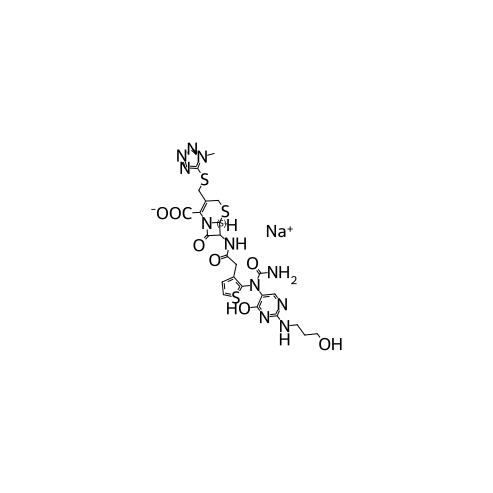 Cn1nnnc1SCC1=C(C(=O)[O-])N2C(=O)C(NC(=O)Cc3ccsc3N(C(N)=O)c3cnc(NCCCO)nc3O)[C@@H]2SC1.[Na+]